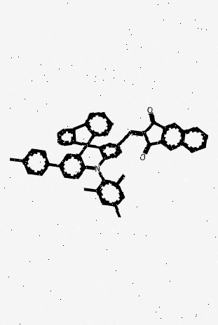 Cc1ccc(-c2ccc3c(c2)C2(c4ccccc4-c4ccccc42)c2cc(C=C4C(=O)c5cc6ccccc6cc5C4=O)ccc2N3c2c(C)cc(C)cc2C)cc1